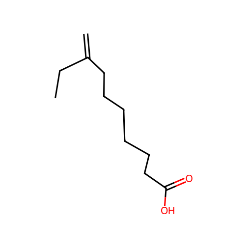 C=C(CC)CCCCCCC(=O)O